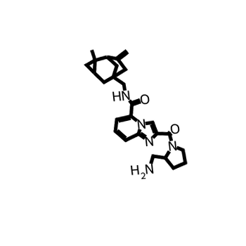 C=C1CC2(CNC(=O)c3cccc4nc(C(=O)N5CCCC5CN)cn34)CC3CC3(C)C1C2